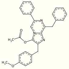 COc1ccc(Cc2nc3c(Cc4ccccc4)nc(-c4ccccc4)cn3c2OC(C)=O)cc1